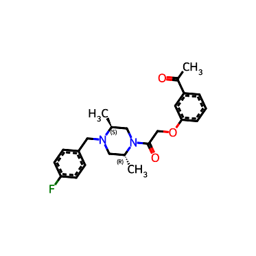 CC(=O)c1cccc(OCC(=O)N2C[C@H](C)N(Cc3ccc(F)cc3)C[C@H]2C)c1